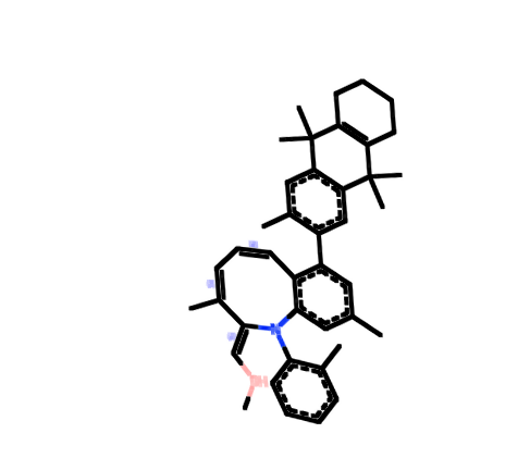 CB/C=C1/C(C)=C\C=C/c2c(-c3cc4c(cc3C)C(C)(C)C3=C(CCCC3)C4(C)C)cc(C)cc2N1c1ccccc1C